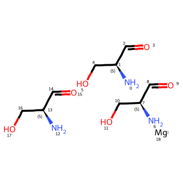 N[C@H](C=O)CO.N[C@H](C=O)CO.N[C@H](C=O)CO.[Mg]